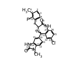 Cc1cccc(CC2N=C(c3ccc4c(c3)[nH]c(=O)n4C)c3cc(Cl)ccc3NC2=O)c1F